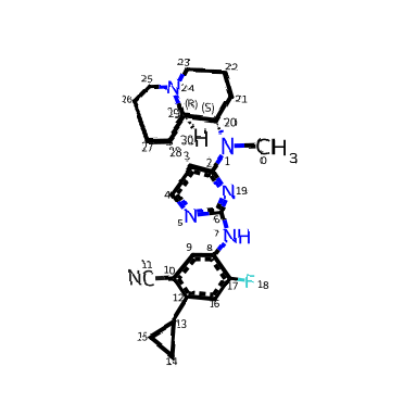 CN(c1ccnc(Nc2cc(C#N)c(C3CC3)cc2F)n1)[C@H]1CCCN2CCCC[C@H]12